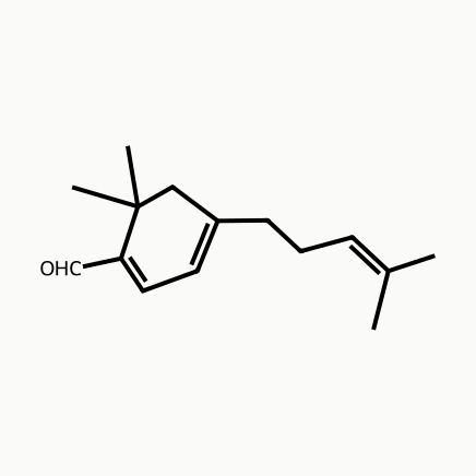 CC(C)=CCCC1=CC=C(C=O)C(C)(C)C1